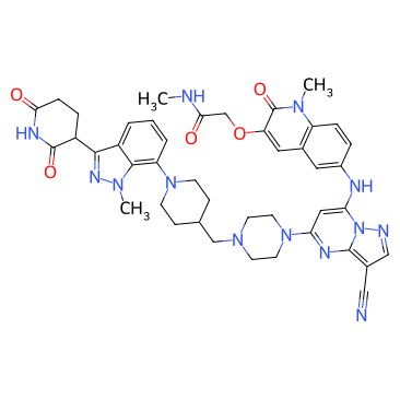 CNC(=O)COc1cc2cc(Nc3cc(N4CCN(CC5CCN(c6cccc7c(C8CCC(=O)NC8=O)nn(C)c67)CC5)CC4)nc4c(C#N)cnn34)ccc2n(C)c1=O